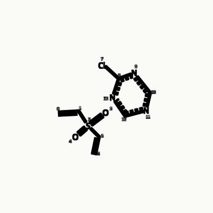 C=CS(=O)(=O)C=C.Clc1ncncn1